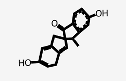 CC1c2cc(O)ccc2C(=O)C12C=C1CC=C(O)C=C1C2